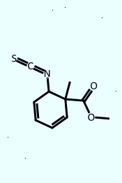 COC(=O)C1(C)C=CC=CC1N=C=S